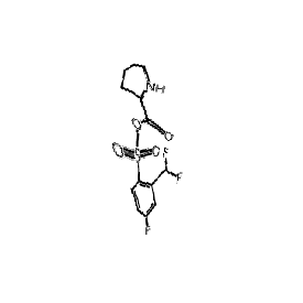 O=C(OS(=O)(=O)c1ccc(F)cc1C(F)F)C1CCCN1